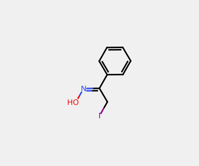 O/N=C(\CI)c1ccccc1